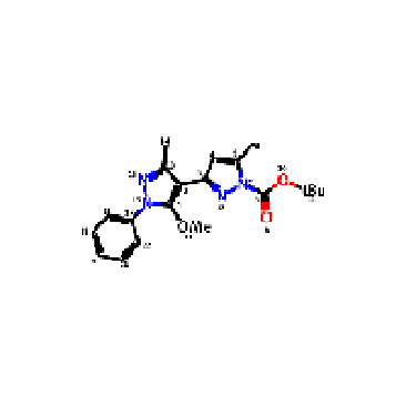 COc1c(-c2cc(C)n(C(=O)OC(C)(C)C)n2)c(C)nn1-c1ccccc1